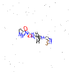 O=c1c2cccnc2ncn1Cc1nc([C@H]2[C@@H]3CN(c4ccc5ncsc5c4)C[C@@H]32)no1